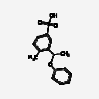 Cc1ccc(S(=O)(=O)O)cc1C(C)Oc1ccccc1